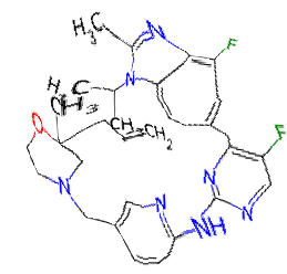 C=CCC1(C)CN(Cc2ccc(Nc3ncc(F)c(-c4cc(F)c5nc(C)n(C(C)C)c5c4)n3)nc2)CCO1